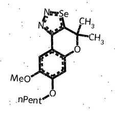 CCCCCOc1cc2c(cc1OC)-c1nn[se]c1C(C)(C)O2